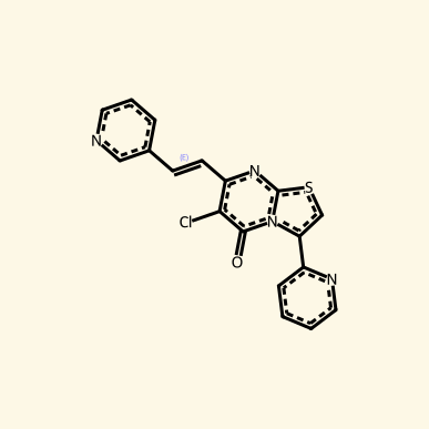 O=c1c(Cl)c(/C=C/c2cccnc2)nc2scc(-c3ccccn3)n12